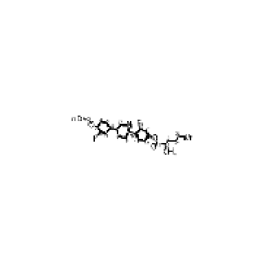 CCCCCCCCCCOc1ccc(-c2ccc(-c3ccc(OC(=O)C(C)CCCC(C)C)cc3F)nc2)cc1F